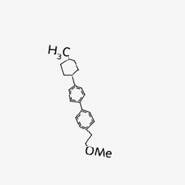 COCCc1ccc(-c2ccc(C3CCC(C)CC3)cc2)cc1